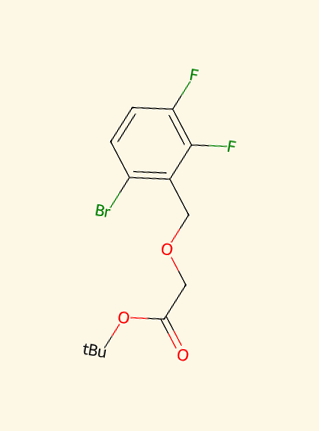 CC(C)(C)OC(=O)COCc1c(Br)ccc(F)c1F